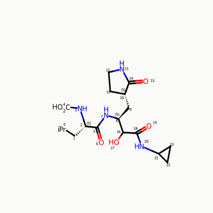 CC(C)C[C@H](NC(=O)O)C(=O)N[C@@H](C[C@@H]1CCNC1=O)C(O)C(=O)NC1CC1